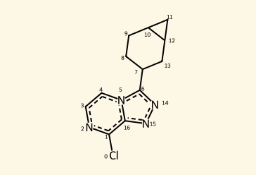 Clc1nccn2c(C3CCC4CC4C3)nnc12